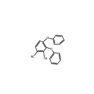 N#Cc1ccc(Oc2ccccc2)c(Oc2ccccc2)c1C#N